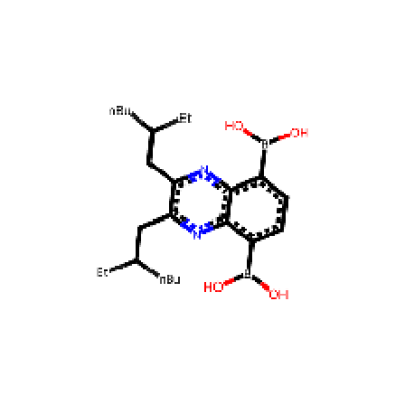 CCCCC(CC)Cc1nc2c(B(O)O)ccc(B(O)O)c2nc1CC(CC)CCCC